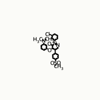 CN(C)c1cccc(Oc2c(-c3ccc(S(C)(=O)=O)cc3)cnn(-c3cccc(Cl)c3)c2=O)c1